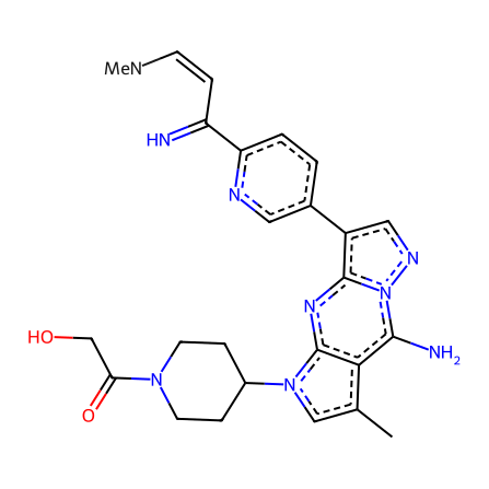 CN/C=C\C(=N)c1ccc(-c2cnn3c(N)c4c(C)cn(C5CCN(C(=O)CO)CC5)c4nc23)cn1